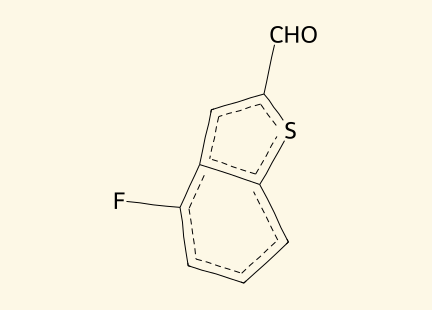 O=Cc1cc2c(F)cccc2s1